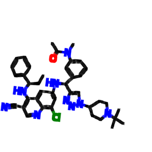 CC[C@@H](Nc1c(C#N)cnc2c(Cl)cc(N[C@@H](c3cccc(N(C)C(C)=O)c3)c3cn(C4CCN(C(C)(C)C)CC4)nn3)cc12)c1ccccc1